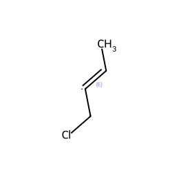 C/C=[C]/CCl